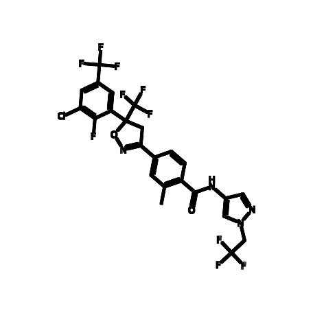 Cc1cc(C2=NOC(c3cc(C(F)(F)F)cc(Cl)c3F)(C(F)(F)F)C2)ccc1C(=O)Nc1cnn(CC(F)(F)F)c1